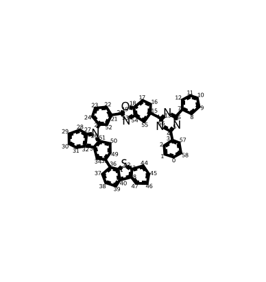 c1ccc(-c2nc(-c3ccccc3)nc(-c3ccc4oc(-c5cccc(-n6c7ccccc7c7cc(-c8cccc9c8sc8ccccc89)ccc76)c5)nc4c3)n2)cc1